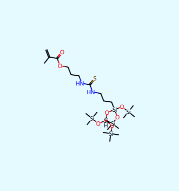 C=C(C)C(=O)OCCCNC(=S)NCCC[Si](O[SiH](O[Si](C)(C)C)O[Si](C)(C)C)(O[Si](C)(C)C)O[Si](C)(C)C